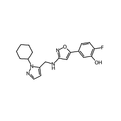 Oc1cc(-c2cc(NCc3ccnn3C3CCCCC3)no2)ccc1F